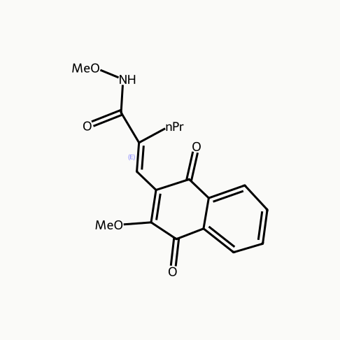 CCC/C(=C\C1=C(OC)C(=O)c2ccccc2C1=O)C(=O)NOC